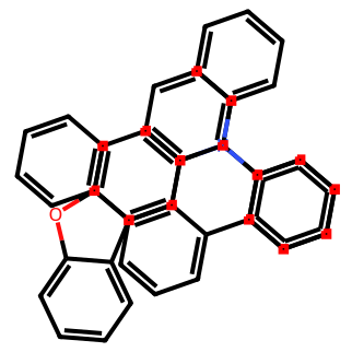 c1ccc(-c2ccccc2-c2c(-c3ccccc3)cccc2-c2ccccc2N(c2ccccc2)c2ccc3oc4ccccc4c3c2)cc1